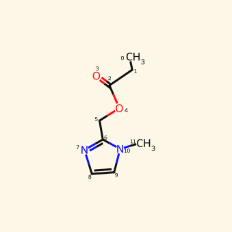 CCC(=O)OCc1nccn1C